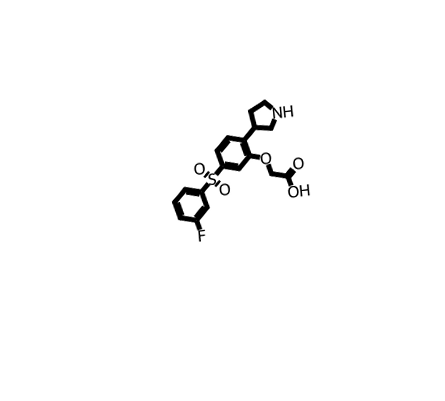 O=C(O)COc1cc(S(=O)(=O)c2cccc(F)c2)ccc1C1CCNC1